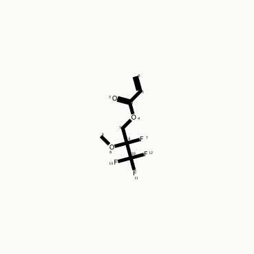 C=CC(=O)OCC(F)(OC)C(F)(F)F